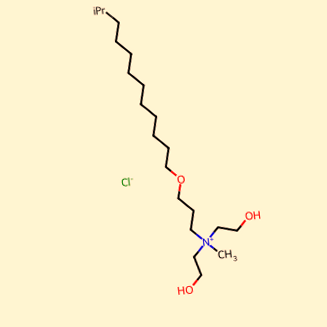 CC(C)CCCCCCCCCCOCCC[N+](C)(CCO)CCO.[Cl-]